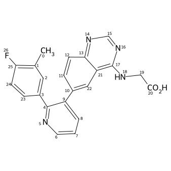 Cc1cc(-c2ncccc2-c2ccc3ncnc(NCC(=O)O)c3c2)ccc1F